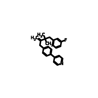 C=C(Cc1ccc(-c2ccncc2)cc1)C(C)(C)Cc1cccc(F)c1